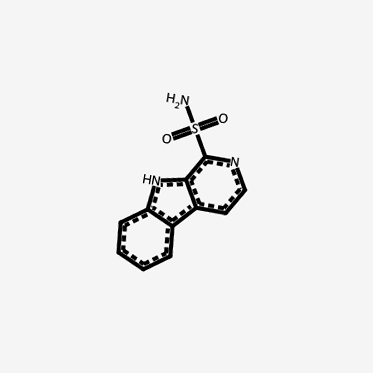 NS(=O)(=O)c1nccc2c1[nH]c1ccccc12